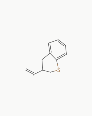 C=[C]C1CSc2ccccc2C1